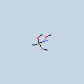 CCC[Si](NOCC)(OCC)OCC